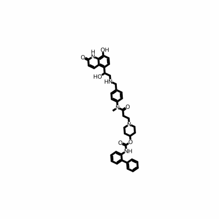 CN(C(=O)CCN1CCC(OC(=O)Nc2ccccc2-c2ccccc2)CC1)c1ccc(CNCC(O)c2ccc(O)c3[nH]c(=O)ccc23)cc1